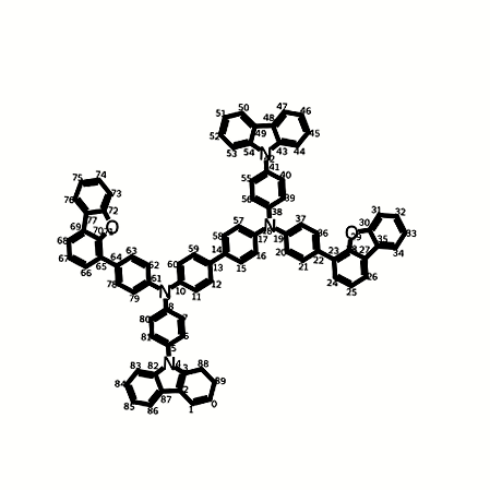 C1=Cc2c(n(-c3ccc(N(c4ccc(-c5ccc(N(c6ccc(-c7cccc8c7oc7ccccc78)cc6)c6ccc(-n7c8ccccc8c8ccccc87)cc6)cc5)cc4)c4ccc(-c5cccc6c5oc5ccccc56)cc4)cc3)c3ccccc23)CC1